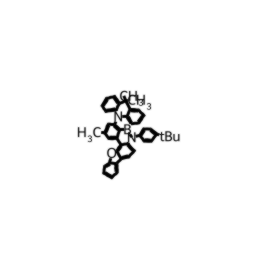 Cc1cc2c3c(c1)N1c4ccccc4C(C)(C)c4cccc(c41)B3N(c1ccc(C(C)(C)C)cc1)c1ccc3c(oc4ccccc43)c1-2